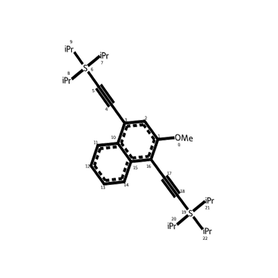 COc1cc(C#CS(C(C)C)(C(C)C)C(C)C)c2ccccc2c1C#CS(C(C)C)(C(C)C)C(C)C